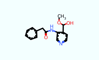 COC(O)c1ccncc1NC(=O)Cc1ccccc1